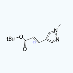 Cn1cc(/C=C/C(=O)OC(C)(C)C)cn1